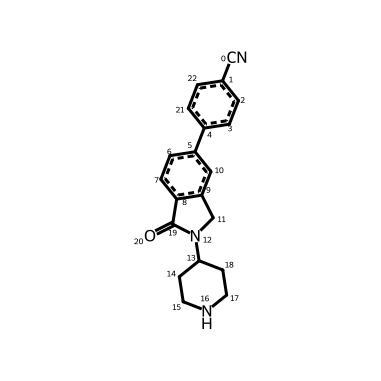 N#Cc1ccc(-c2ccc3c(c2)CN(C2CCNCC2)C3=O)cc1